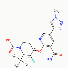 Cn1cc(-c2cnc(O[C@@H]3CCN(C(=O)O)C(C(C)(C)C)[C@@H]3F)c(C(N)=O)c2)nn1